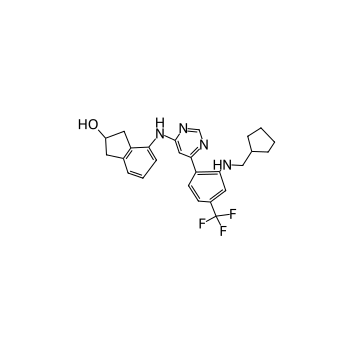 OC1Cc2cccc(Nc3cc(-c4ccc(C(F)(F)F)cc4NCC4CCCC4)ncn3)c2C1